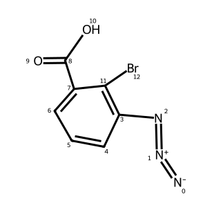 [N-]=[N+]=Nc1cccc(C(=O)O)c1Br